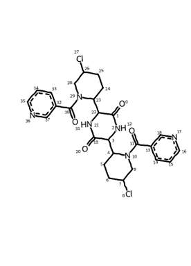 O=C1NC(C2CCC(Cl)CN2C(=O)c2cccnc2)C(=O)NC1C1CCC(Cl)CN1C(=O)c1cccnc1